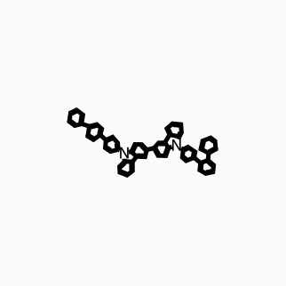 c1ccc(-c2ccc(-c3ccc(-n4c5ccccc5c5cc(-c6ccc7c(c6)c6ccccc6n7-c6ccc(-c7ccccc7-c7ccccc7)cc6)ccc54)cc3)cc2)cc1